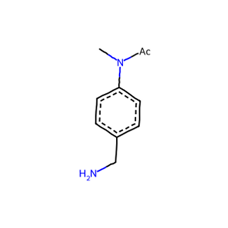 CC(=O)N(C)c1ccc(CN)cc1